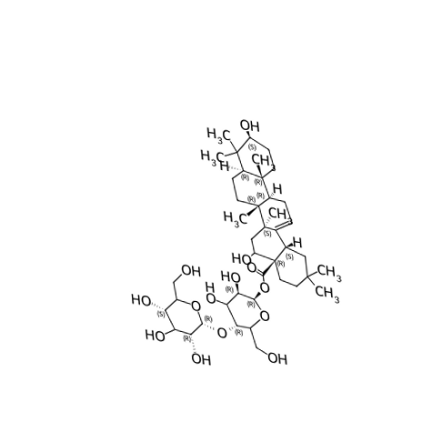 CC1(C)CC[C@]2(C(=O)O[C@H]3OC(CO)[C@H](O[C@H]4OC(CO)[C@@H](O)C(O)[C@H]4O)C(O)[C@H]3O)C(O)C[C@]3(C)C(=CC[C@@H]4[C@@]5(C)CC[C@H](O)C(C)(C)[C@@H]5CC[C@]43C)[C@@H]2C1